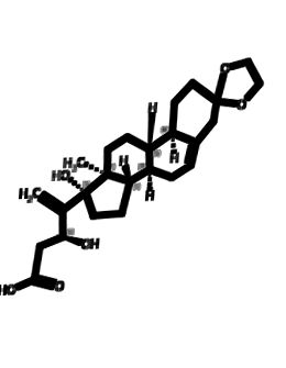 C=C([C@@H](O)CC(=O)O)[C@]1(O)CC[C@H]2[C@@H]3CC=C4CC5(CC[C@@H]4[C@H]3CC[C@@]21C)OCCO5